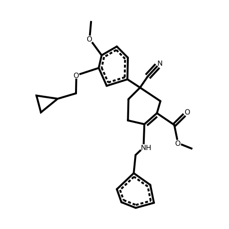 COC(=O)C1=C(NCc2ccccc2)CCC(C#N)(c2ccc(OC)c(OCC3CC3)c2)C1